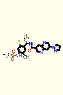 Cc1cc([C@@H](C)NC(=O)c2cnc3cc(-n4cccn4)cnc3c2)c(F)cc1NS(C)(=O)=O